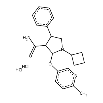 Cc1ccc(OC2C(C(N)=O)C(c3ccccc3)CN2C2CCC2)cn1.Cl.Cl